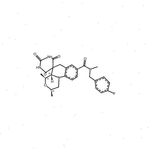 C[C@@H]1CN2c3ccc(C(=O)N(C)Cc4ccc(F)cc4)cc3CC3(C(=O)NC(=O)NC3=O)[C@H]2[C@H](C)O1